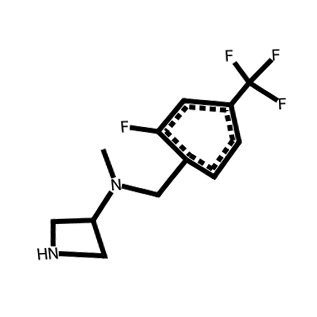 CN(Cc1ccc(C(F)(F)F)cc1F)C1CNC1